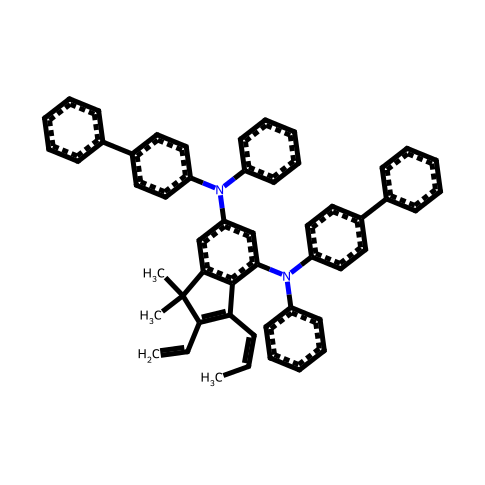 C=CC1=C(/C=C\C)c2c(N(c3ccccc3)c3ccc(-c4ccccc4)cc3)cc(N(c3ccccc3)c3ccc(-c4ccccc4)cc3)cc2C1(C)C